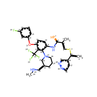 C=C(S/C=C(\C)C(=P)Nc1ccc(Oc2cccc(F)c2)c(C(F)(F)F)c1N1CCC/C(=C/NC)C1)c1ccnnc1